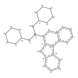 c1ccc2c(c1)cc(B(OC1CCCCC1)OC1CCCCC1)c1oc3ccccc3c12